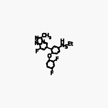 CCSNc1ccc(Oc2ccc(F)cc2F)c(-c2cc(F)c3nnc(C)n3c2)c1